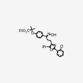 CCOC(=O)C(C)(C)Oc1ccc(C(CCc2nc(-c3ccccc3Cl)oc2C(C)C)=NO)cc1